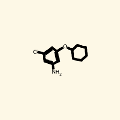 Nc1cc(Cl)cc(OC2CCCCC2)c1